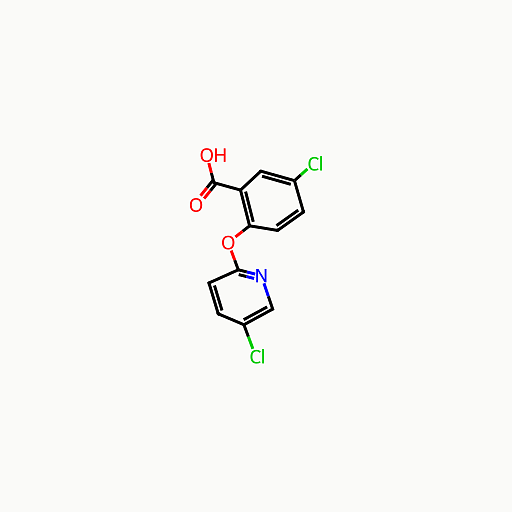 O=C(O)c1cc(Cl)ccc1Oc1ccc(Cl)cn1